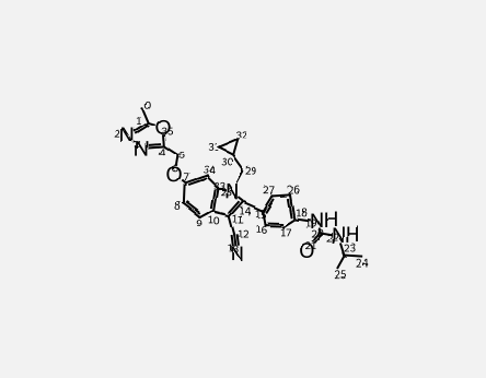 Cc1nnc(COc2ccc3c(C#N)c(-c4ccc(NC(=O)NC(C)C)cc4)n(CC4CC4)c3c2)o1